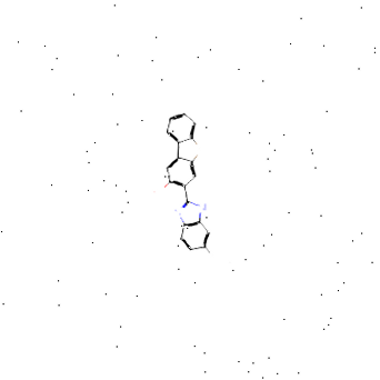 Cc1ccc2nc(-c3cc4sc5ccccc5c4cc3O)[nH]c2c1